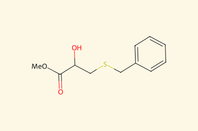 COC(=O)C(O)CSCc1ccccc1